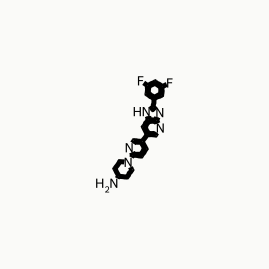 NC1CCN(c2ccc(-c3cnc4nc(-c5cc(F)cc(F)c5)[nH]c4c3)cn2)CC1